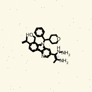 C=C(C)c1ccc2c3ncc(/C(NN)=C(\C)N)cc3n(C(c3ccccc3)C3CCOCC3)c2c1CO